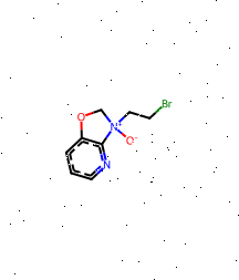 [O-][N+]1(CCBr)COc2cccnc21